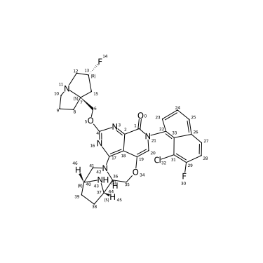 O=c1c2nc(OC[C@@]34CCCN3C[C@H](F)C4)nc3c2c(cn1-c1cccc2ccc(F)c(Cl)c12)OC[C@@H]1[C@@H]2CC[C@H](CN31)N2